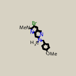 CNc1nc2cc(N(C)Cc3ccc(OC)cc3)ncc2cc1Br